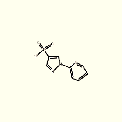 O=S(=O)(Cl)c1cnn(-c2ccccn2)c1